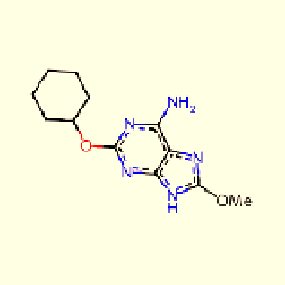 COc1nc2c(N)nc(OC3CCCCC3)nc2[nH]1